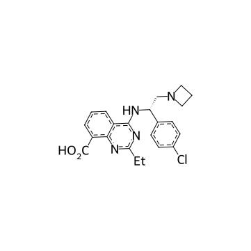 CCc1nc(N[C@H](CN2CCC2)c2ccc(Cl)cc2)c2cccc(C(=O)O)c2n1